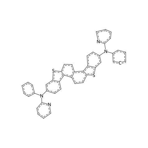 c1ccc(N(c2ccc3c(c2)sc2ccc4c(ccc5sc6cc(N(c7ccccc7)c7ccccn7)ccc6c54)c23)c2ccccn2)cc1